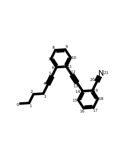 CCCCC#Cc1ccccc1C#Cc1ccccc1C#N